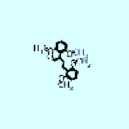 COc1cccc(OC)c1CCC(C=O)c1c(OC)cccc1OC